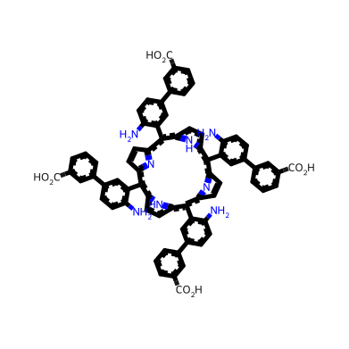 Nc1ccc(-c2cccc(C(=O)O)c2)cc1-c1c2nc(c(-c3cc(-c4cccc(C(=O)O)c4)ccc3N)c3ccc([nH]3)c(-c3cc(-c4cccc(C(=O)O)c4)ccc3N)c3nc(c(-c4cc(-c5cccc(C(=O)O)c5)ccc4N)c4ccc1[nH]4)C=C3)C=C2